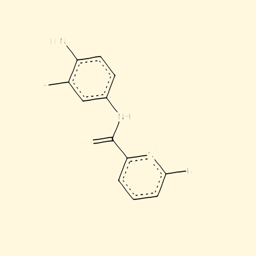 Nc1ccc(NC(=O)c2cccc(Br)n2)cc1F